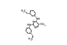 C=Cc1cccc(Nc2ncc(C)c(Nc3cccc(C=C)c3)n2)c1